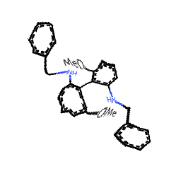 COc1cccc(NCc2ccccc2)c1-c1c(NCc2ccccc2)cccc1OC